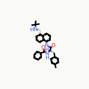 Cc1ccc(C[C@H](NC(=O)c2ccccc2)C(=O)Nc2cccc3c(SNC(C)(C)C)cccc23)cc1